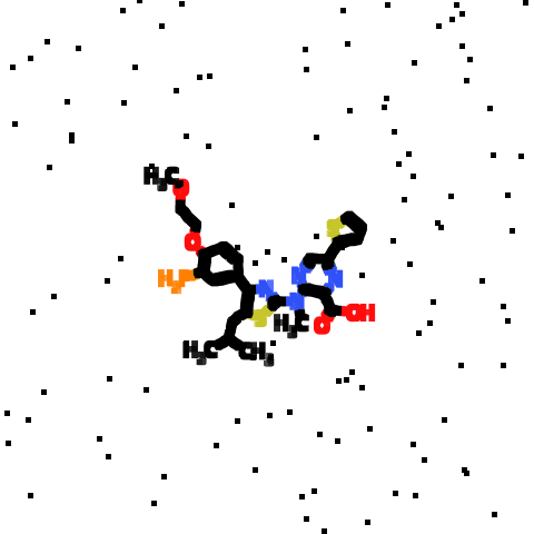 COCCOc1ccc(-c2nc(N(C)c3ncc(-c4cccs4)nc3C(=O)O)sc2CC(C)C)cc1P